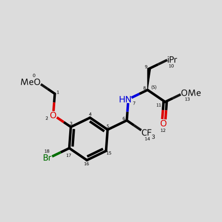 COCOc1cc(C(N[C@@H](CC(C)C)C(=O)OC)C(F)(F)F)ccc1Br